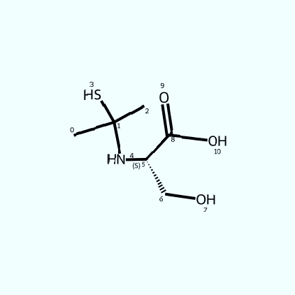 CC(C)(S)N[C@@H](CO)C(=O)O